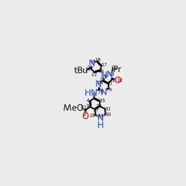 COC(=O)c1cc(Nc2ncc3c(=O)n(C(C)C)n(-c4ccnc(C(C)(C)C)c4)c3n2)cc2c1CNCC2